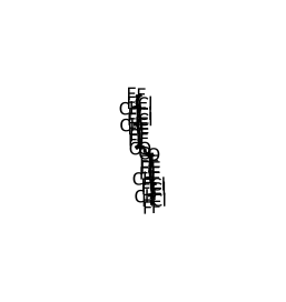 O=C(OOC(=O)C(F)(F)C(F)(F)C(F)(F)C(F)(Cl)C(F)(Cl)C(F)(Cl)C(F)(Cl)C(F)(Cl)C(F)F)C(F)(F)C(F)(F)C(F)(F)C(F)(Cl)C(F)(Cl)C(F)(Cl)C(F)(Cl)C(F)(Cl)C(F)F